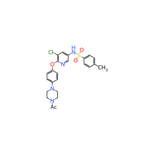 CC(=O)N1CCN(c2ccc(Oc3ncc(NS(=O)(=O)c4ccc(C)cc4)cc3Cl)cc2)CC1